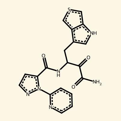 NC(=O)C(=O)C(Cc1c[nH]c2cscc12)NC(=O)c1ccnn1-c1ccccn1